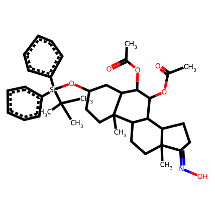 CC(=O)OC1C(OC(C)=O)C2CC(O[Si](c3ccccc3)(c3ccccc3)C(C)(C)C)CCC2(C)C2CCC3(C)C(=NO)CCC3C12